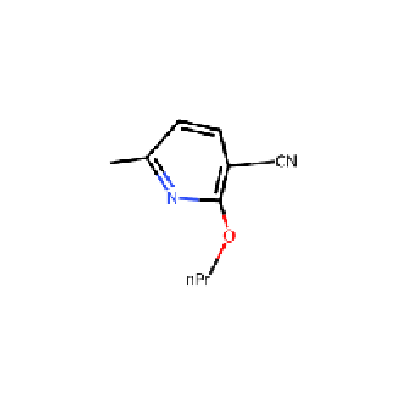 CCCOc1nc(C)ccc1C#N